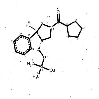 CC(C)(C)[Si](C)(C)OC[C@H]1CN(C(=O)C2CCCC2)C[C@]1(O)c1ccccc1